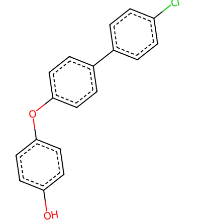 Oc1ccc(Oc2ccc(-c3ccc(Cl)cc3)cc2)cc1